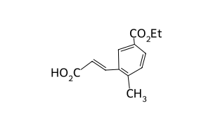 CCOC(=O)c1ccc(C)c(/C=C/C(=O)O)c1